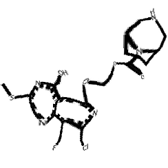 CSc1nc(O)c2c(OCOC(=O)N3C4CCC3CNC4)nc(Cl)c(F)c2n1